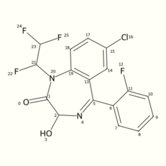 O=C1C(O)N=C(c2ccccc2F)c2cc(Cl)ccc2N1C(F)C(F)F